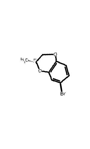 [CH2][C@@H]1COc2ccc(Br)cc2O1